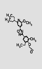 CCc1cc(-c2noc(-c3cc(OC)nc(C(CC)CC)c3)n2)cc(C)c1OCC1CO1